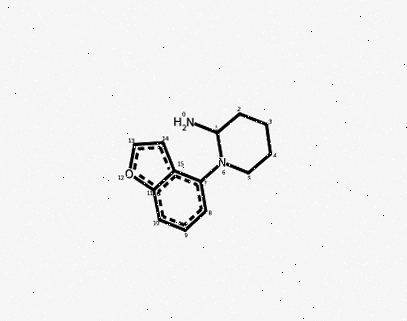 NC1CCCCN1c1cccc2occc12